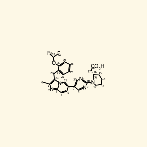 Cc1nc2ccc(-c3cnc(N4CCCC[C@H]4CC(=O)O)nc3)cn2c1Cc1ccccc1OC(F)F